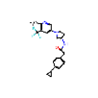 Cc1ncc(N2CC[C@@H](NC(=O)Cc3ccc(C4CC4)cc3)C2)cc1C(F)(F)F